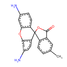 Cc1ccc2c(c1)C(=O)OC21c2ccc(N)cc2Oc2cc(N)ccc21